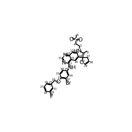 CC(NCCS(C)(=O)=O)C1(c2ccc3ncnc(Nc4ccc(OCc5cccc(F)c5)c(Br)c4)c3c2)CC=CO1